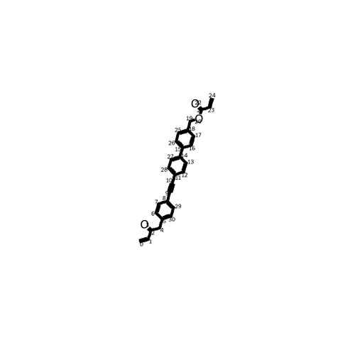 C=CC(=O)Cc1ccc(C#Cc2ccc(-c3ccc(COC(=O)C=C)cc3)cc2)cc1